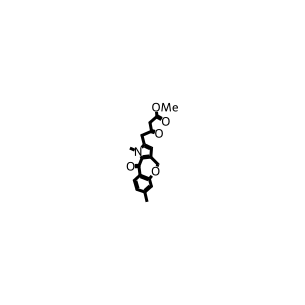 COC(=O)CC(=O)Cc1cc2c(n1C)C(=O)c1ccc(C)cc1OC2